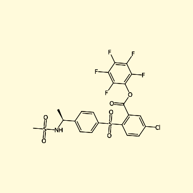 C[C@H](NS(C)(=O)=O)c1ccc(S(=O)(=O)c2ccc(Cl)cc2C(=O)Oc2c(F)c(F)c(F)c(F)c2F)cc1